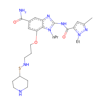 CCCn1c(NC(=O)c2cc(C)nn2CC)nc2cc(C(N)=O)cc(OCCCNSC3CCNCC3)c21